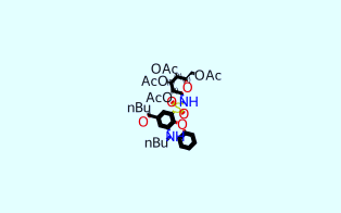 CCCCNc1cc(C(=O)CCCC)cc(S(=O)(=O)NC2O[C@H](COC(C)=O)[C@@H](OC(C)=O)[C@H](OC(C)=O)[C@H]2OC(C)=O)c1Oc1ccccc1